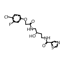 O=C(COc1ccc(Cl)c(F)c1)NCC(O)CCNC(=O)c1cncs1